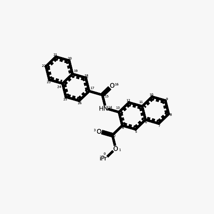 CC(C)OC(=O)c1cc2ccccc2cc1NC(=O)c1[c]c2ccccc2cc1